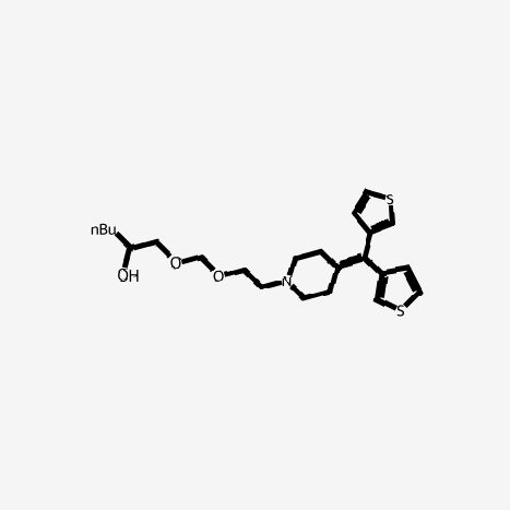 CCCCC(O)COCOCCN1CCC(=C(c2ccsc2)c2ccsc2)CC1